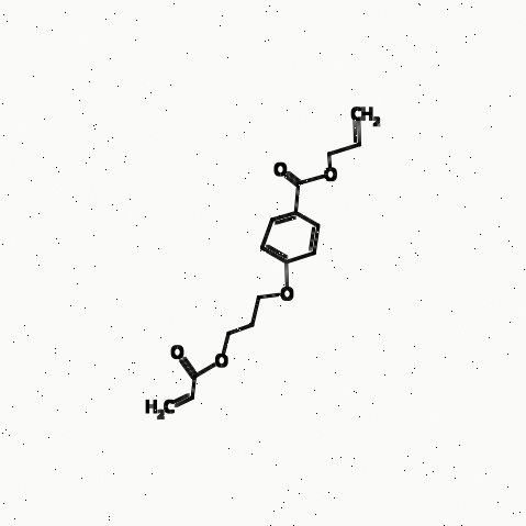 C=CCOC(=O)c1ccc(OCCCOC(=O)C=C)cc1